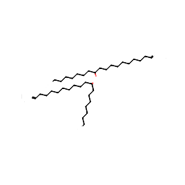 C=CCCCCCCCCCC(CCCCCCCC)OC(CCCCCCCC)CCCCCCCCCC=C